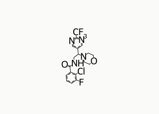 O=C(NCC(c1cnc(C(F)(F)F)nc1)N1CCOCC1)c1cccc(F)c1Cl